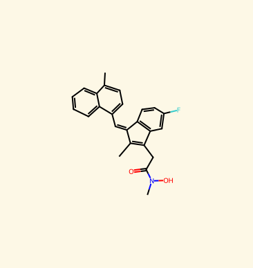 CC1=C(CC(=O)N(C)O)c2cc(F)ccc2/C1=C\c1ccc(C)c2ccccc12